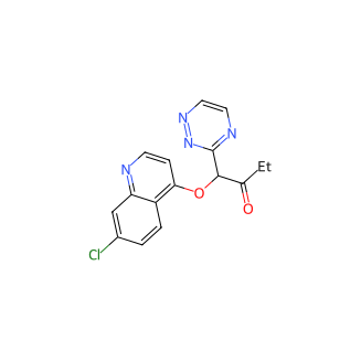 CCC(=O)C(Oc1ccnc2cc(Cl)ccc12)c1nccnn1